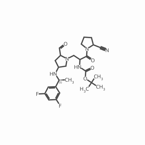 C[C@H](NC1CC(C=O)N(CC(NC(=O)OC(C)(C)C)C(=O)N2CCCC2C#N)C1)c1cc(F)cc(F)c1